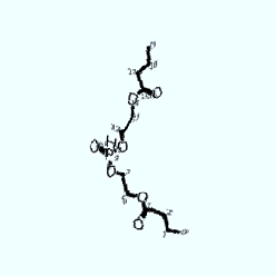 CCCC(=O)OCCO[PH](=O)OCCOC(=O)CCC